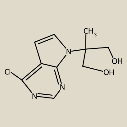 CC(CO)(CO)n1ccc2c(Cl)ncnc21